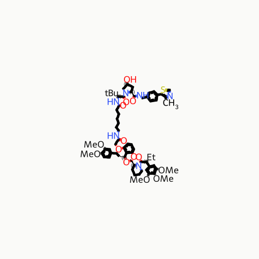 CC[C@H](C(=O)N1CCCC[C@H]1C(=O)O[C@H](CCc1ccc(OC)c(OC)c1)c1ccccc1OCC(=O)NCCCCCCC(=O)N[C@H](C(=O)N1C[C@H](O)C[C@H]1C(=O)NCc1ccc(-c2scnc2C)cc1)C(C)(C)C)c1cc(OC)c(OC)c(OC)c1